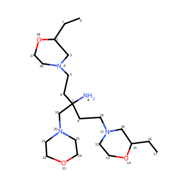 CCC1CN(CCC(N)(CCN2CCOC(CC)C2)CN2CCOCC2)CCO1